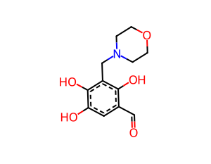 O=Cc1cc(O)c(O)c(CN2CCOCC2)c1O